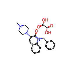 CN1CCN(c2cc3ccccc3n(Cc3ccccc3)c2=O)CC1.O=C(O)C(=O)O